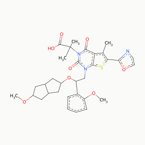 COc1ccccc1C(Cn1c(=O)n(C(C)(C)C(=O)O)c(=O)c2c(C)c(-c3ncco3)sc21)OC1CC2CC(OC)CC2C1